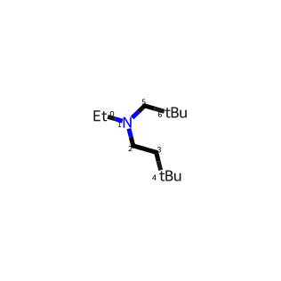 CCN(CCC(C)(C)C)CC(C)(C)C